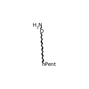 CCCCCC=CCC=CCC=CCC=CCCCCOCCN